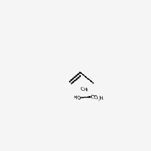 C=CC.O=C(O)O.[CH]